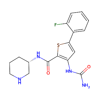 NC(=O)Nc1cc(-c2ccccc2F)sc1C(=O)N[C@H]1CCCNC1